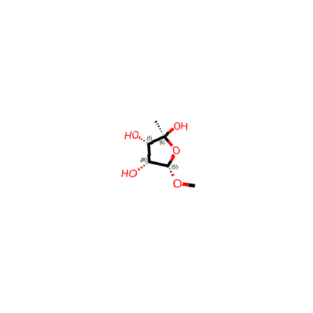 CO[C@H]1O[C@](C)(O)[C@@H](O)[C@H]1O